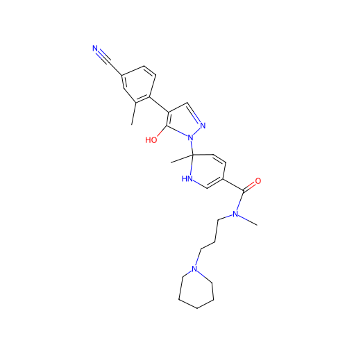 Cc1cc(C#N)ccc1-c1cnn(C2(C)C=CC(C(=O)N(C)CCCN3CCCCC3)=CN2)c1O